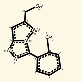 Cc1ccccc1-c1nnc2cc(CO)[nH]n12